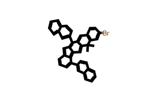 CC1(C)c2cc(Br)ccc2C=c2c1cc1c(c2-c2ccc3ccccc3c2)C=c2cccc(-c3ccc4ccccc4c3)c2=1